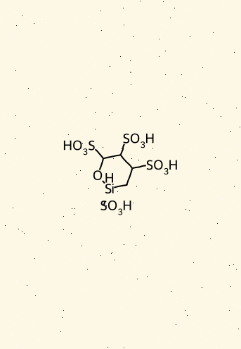 O=S(=O)(O)C1C[SiH](S(=O)(=O)O)OC(S(=O)(=O)O)C1S(=O)(=O)O